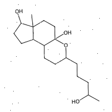 CC(O)CCCC1CCC2C3CCC(O)C3(C)CCC2(O)O1